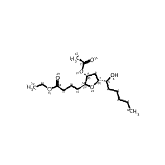 CCCCCC(O)[C@H]1C[C@@H](OC(C)=O)[C@H](CCCC(=O)OCC)O1